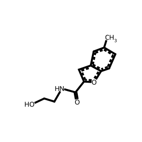 Cc1ccc2oc(C(=O)NCCO)cc2c1